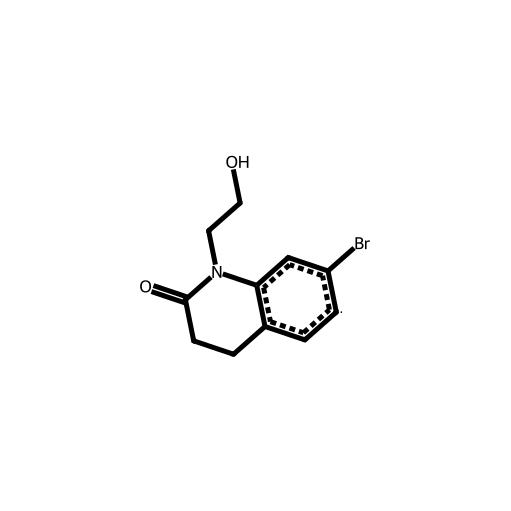 O=C1CCc2c[c]c(Br)cc2N1CCO